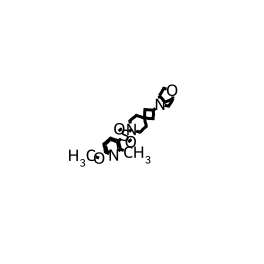 COc1ccc(S(=O)(=O)N2CCC3(CC2)CC(N2CC4CC2CO4)C3)c(C)n1